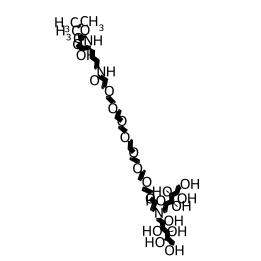 CC(C)(C)OC(=O)N[C@@H](CCCCNC(=O)CCOCCOCCOCCOCCOCCOCCOCCOCCN(C[C@H](O)[C@@H](O)[C@H](O)[C@H](O)CO)C[C@H](O)[C@@H](O)[C@H](O)[C@H](O)CO)C(=O)O